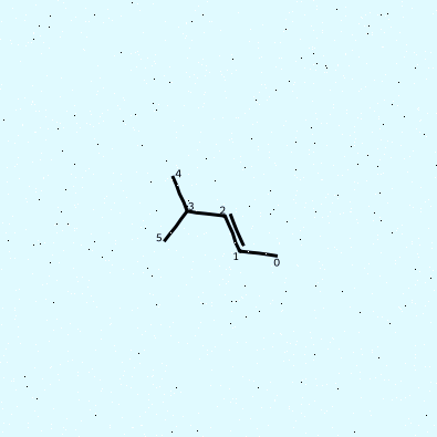 CC=C[C](C)C